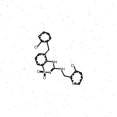 O=S1(=O)N=C(NCc2ncccc2Cl)Nc2c(Cc3ccccc3Cl)cccc21